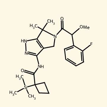 COC(C(=O)N1Cc2c(NC(=O)C3([Si](C)(C)C)CCC3)n[nH]c2C1(C)C)c1ccccc1F